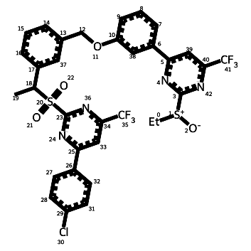 CC[S+]([O-])c1nc(-c2cccc(OCc3cccc(C(C)S(=O)(=O)c4nc(-c5ccc(Cl)cc5)cc(C(F)(F)F)n4)c3)c2)cc(C(F)(F)F)n1